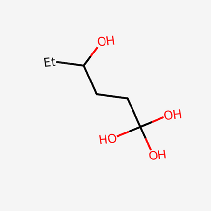 CCC(O)CCC(O)(O)O